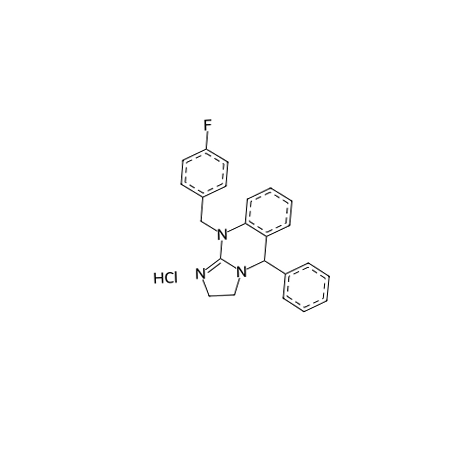 Cl.Fc1ccc(CN2C3=NCCN3C(c3ccccc3)c3ccccc32)cc1